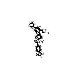 CS(=O)(=O)c1ccc(C(=O)Nc2ccc(-n3nc(-c4cccnc4)cc3C(F)(F)F)cn2)cc1